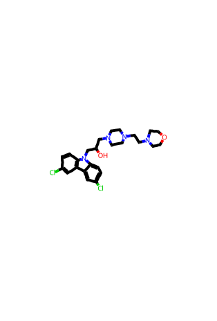 OC(CN1CCN(CCN2CCOCC2)CC1)Cn1c2ccc(Cl)cc2c2cc(Cl)ccc21